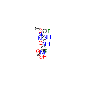 Cc1[nH]c2c(-c3cc(F)ccc3OCC3CC3)ncnc2c1C(=O)N[C@H]1CC[C@@H](NC(=O)[C@H](C)O)[C@H](F)C1